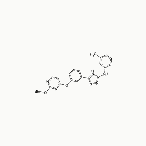 Cc1cccc(Nc2nnc(-c3cccc(Oc4ccnc(OC(C)(C)C)n4)c3)[nH]2)c1